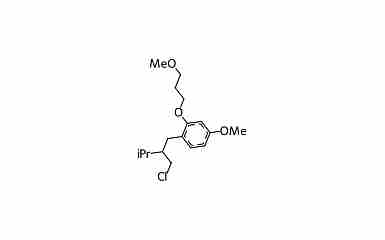 COCCCOc1cc(OC)ccc1CC(CCl)C(C)C